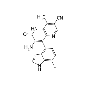 Cc1c(C#N)cnc2c(-c3ccc(F)c4[nH]ncc34)c(N)c(=O)[nH]c12